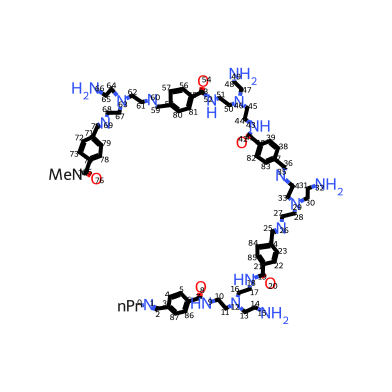 CCC/N=C/c1ccc(C(=O)NCCN(CCN)CCNC(=O)c2ccc(/C=N/CCN(CCN)CC/N=C/c3ccc(C(=O)NCCN(CCN)CCNC(=O)c4ccc(/C=N/CCN(CCN)CC/N=C/c5ccc(C(=O)NC)cc5)cc4)cc3)cc2)cc1